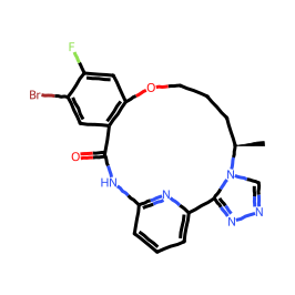 C[C@@H]1CCCOc2cc(F)c(Br)cc2C(=O)Nc2cccc(n2)-c2nncn21